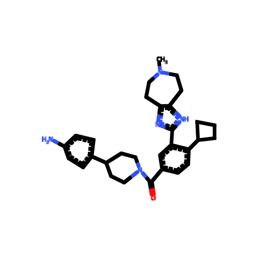 CN1CCc2nc(-c3cc(C(=O)N4CCC(c5ccc(N)cc5)CC4)ccc3C3CCC3)[nH]c2CC1